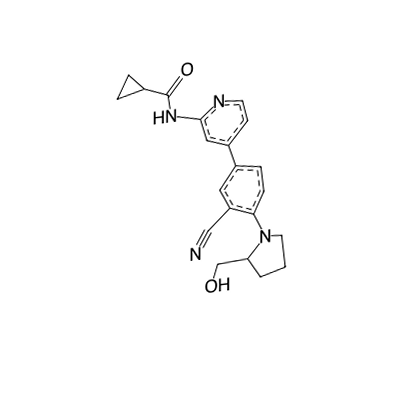 N#Cc1cc(-c2ccnc(NC(=O)C3CC3)c2)ccc1N1CCCC1CO